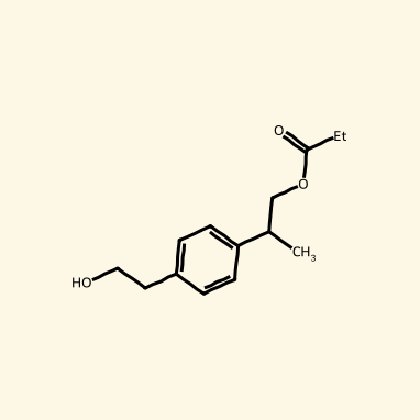 CCC(=O)OCC(C)c1ccc(CCO)cc1